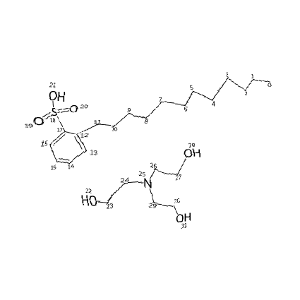 CCCCCCCCCCCCc1ccccc1S(=O)(=O)O.OCCN(CCO)CCO